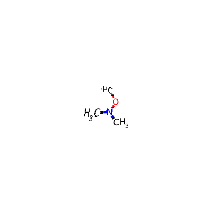 [CH]ON(C)C